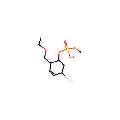 BC1C=CC(COCC)C(OP(=O)(O)OC)C1